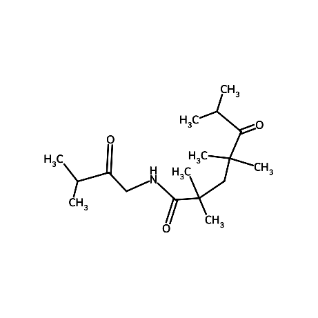 CC(C)C(=O)CNC(=O)C(C)(C)CC(C)(C)C(=O)C(C)C